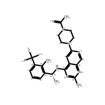 CC(=O)N1CCN(c2cc3c(N[C@H](C)c4cccc(C(F)(F)F)c4C)nc(C)nc3cn2)CC1